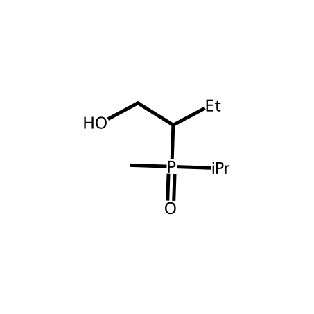 CCC(CO)P(C)(=O)C(C)C